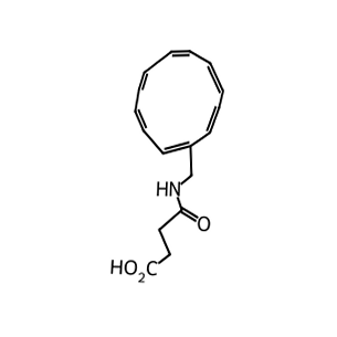 O=C(O)CCC(=O)NCC1=C/C=C\C=C/C=C\C=C/C=C\1